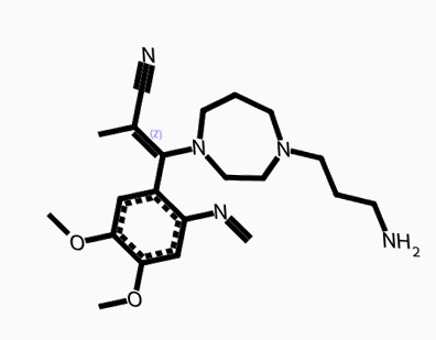 C=Nc1cc(OC)c(OC)cc1/C(=C(\C)C#N)N1CCCN(CCCN)CC1